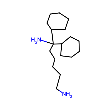 NCCCCCC(N)(C1CCCCC1)C1CCCCC1